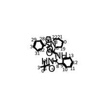 CC(C)(C)C(=O)N[C@H](Cc1ccccc1)NC(=O)[C@@H]1CCCCN1S(=O)(=O)c1ccccc1